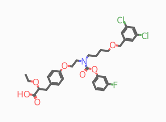 CCOC(Cc1ccc(OCCN(CCCCOCc2cc(Cl)cc(Cl)c2)C(=O)Oc2cccc(F)c2)cc1)C(=O)O